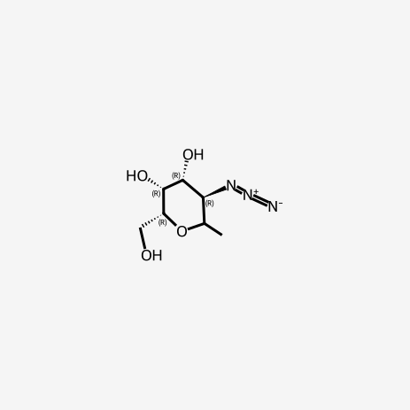 CC1O[C@H](CO)[C@H](O)[C@H](O)[C@H]1N=[N+]=[N-]